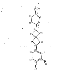 CCCC1CCC(C2CC3(CC(c4ccc(F)c(F)c4)C3)C2)CC1